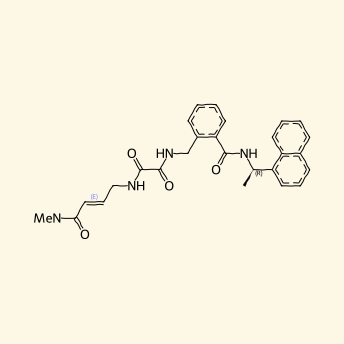 CNC(=O)/C=C/CNC(=O)C(=O)NCc1ccccc1C(=O)N[C@H](C)c1cccc2ccccc12